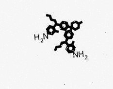 CCCCC(c1ccc(C2(c3ccc(C(CCCC)c4ccc(N)cc4C)cc3)CCC(C)CC2)cc1)c1ccc(N)cc1C